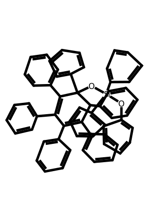 c1ccc(O[Si](OC2(c3ccccc3)C(c3ccccc3)=C(c3ccccc3)C(c3ccccc3)=C(c3ccccc3)C2c2ccccc2)(c2ccccc2)c2ccccc2)cc1